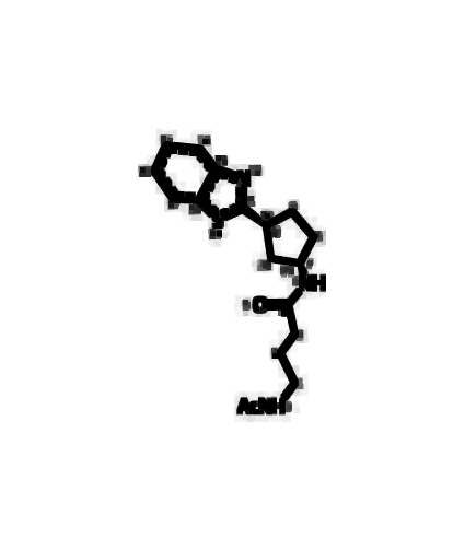 CC(=O)NCCCC(=O)N[C@@H]1CC[C@H](c2nc3ccccc3s2)C1